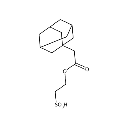 O=C(CC12CC3CC(CC(C3)C1)C2)OCCS(=O)(=O)O